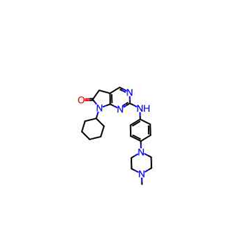 CN1CCN(c2ccc(Nc3ncc4c(n3)N(C3CCCCC3)C(=O)C4)cc2)CC1